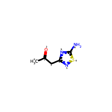 CC(=O)Cc1nsc(N)n1